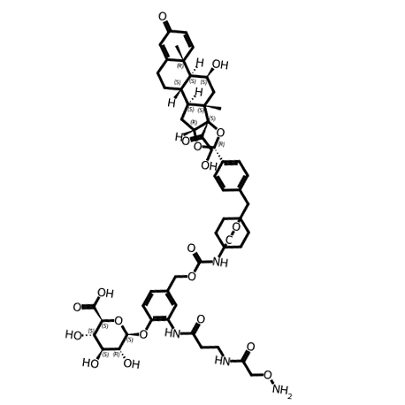 C[C@]12C=CC(=O)C=C1CC[C@@H]1[C@@H]2[C@@H](O)C[C@@]2(C)[C@H]1C[C@H]1O[C@@H](c3ccc(CC45CCC(NC(=O)OCc6ccc(O[C@@H]7O[C@H](C(=O)O)[C@@H](O)[C@H](O)[C@H]7O)c(NC(=O)CCNC(=O)CON)c6)(CC4)CO5)cc3)O[C@]12C(=O)CO